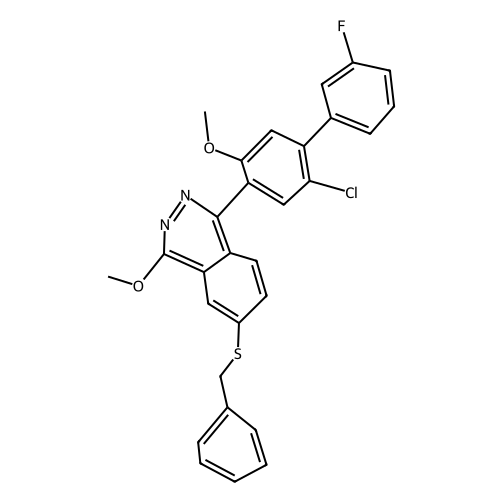 COc1cc(-c2cccc(F)c2)c(Cl)cc1-c1nnc(OC)c2cc(SCc3ccccc3)ccc12